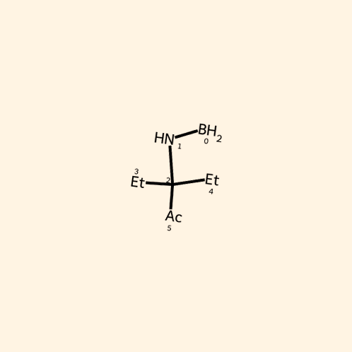 BNC(CC)(CC)C(C)=O